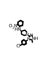 CC1NN=C(N2CCC(Nc3ccccc3[N+](=O)[O-])CC2)N1c1ccc(Cl)cc1